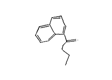 [CH]=C(CCC)c1cccc2ccccc12